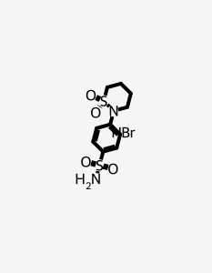 Br.NS(=O)(=O)c1ccc(N2CCCCS2(=O)=O)cc1